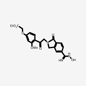 CCOC(=O)COc1ccc(C(=O)CN2Cc3cc(C(=N)NO)ccc3C2=O)c(OC)c1